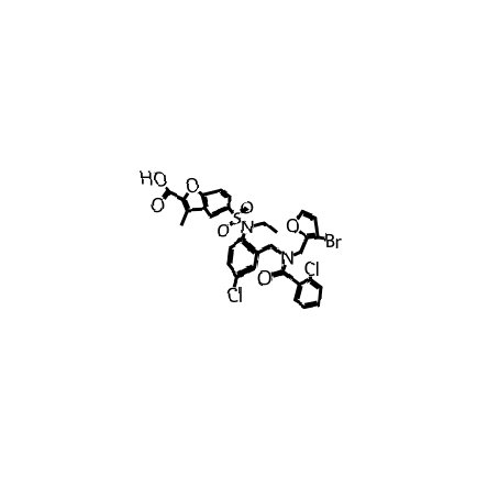 CCN(c1ccc(Cl)cc1CN(Cc1occc1Br)C(=O)c1ccccc1Cl)S(=O)(=O)c1ccc2oc(C(=O)O)c(C)c2c1